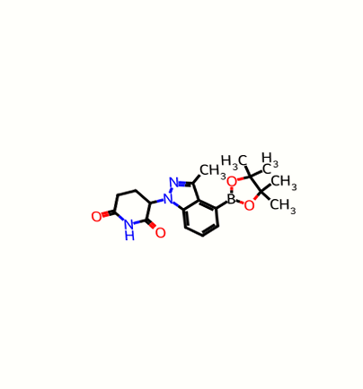 Cc1nn(C2CCC(=O)NC2=O)c2cccc(B3OC(C)(C)C(C)(C)O3)c12